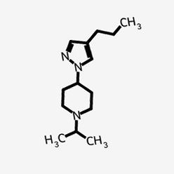 CCCc1cnn(C2CCN(C(C)C)CC2)c1